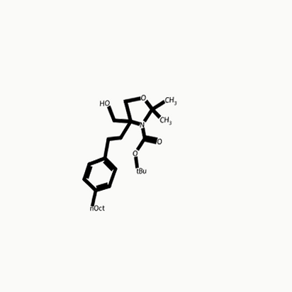 CCCCCCCCc1ccc(CCC2(CO)COC(C)(C)N2C(=O)OC(C)(C)C)cc1